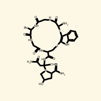 CCC(C)C1NC(=O)CNC(=O)C(N)Cc2c([nH]c3ccccc23)SCC(C(=O)NC(C=O)(CC(N)=O)N2CC(O)CC2C(N)=O)NC(=O)CNC1=O